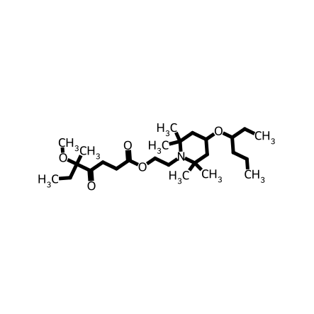 CCCC(CC)OC1CC(C)(C)N(CCOC(=O)CCC(=O)C(C)(CC)OC)C(C)(C)C1